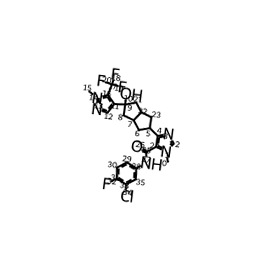 Cn1cnc(C2CC3CC(O)(c4cnn(C)c4C(F)(F)F)CC3C2)c1C(=O)Nc1ccc(F)c(Cl)c1